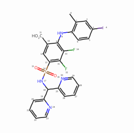 Cc1cc(I)ccc1Nc1c(C(=O)O)cc(S(=O)(=O)NC(c2ccccn2)c2ccccn2)c(F)c1F